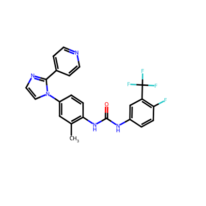 Cc1cc(-n2ccnc2-c2ccncc2)ccc1NC(=O)Nc1ccc(F)c(C(F)(F)F)c1